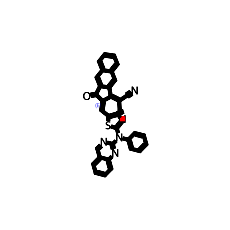 N#CC(C#N)=C1/C(=C\c2ccc(N(c3ccccc3)c3ncc4ccccc4n3)s2)C(=O)c2cc3ccccc3cc21